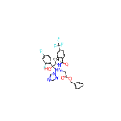 C[C@@H](N(NCC(=O)OCc1ccccc1)C(=O)c1ccc(C(F)(F)F)cc1)[C@](O)(Cn1cncn1)c1ccc(F)cc1F